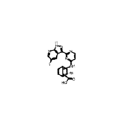 O=C(O)[C@H]1C2CCC(CC2)C1Nc1ccnc(-c2n[nH]c3ncc(F)cc23)n1